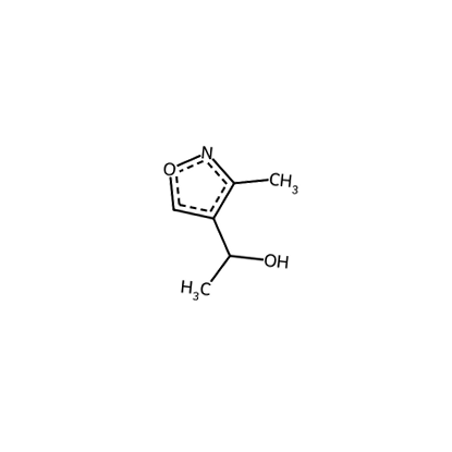 Cc1nocc1C(C)O